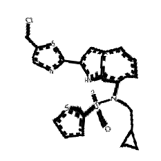 O=S(=O)(c1cccs1)N(CC1CC1)c1cccc2cc(-c3ncc(CCl)s3)[nH]c12